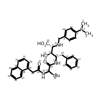 CN(C)c1ccc(CN[C@@H](C(=O)O)[C@H](O)[C@H](Cc2ccccc2)NC(=O)C(NC(=O)Cc2cccc3ccccc23)C(C)(C)C)cc1